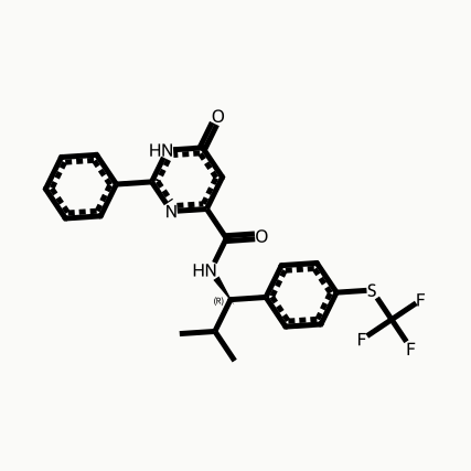 CC(C)[C@@H](NC(=O)c1cc(=O)[nH]c(-c2ccccc2)n1)c1ccc(SC(F)(F)F)cc1